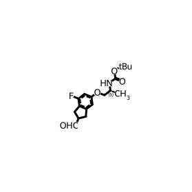 C[C@@H](COc1cc(F)c2c(c1)CC(C=O)C2)NC(=O)OC(C)(C)C